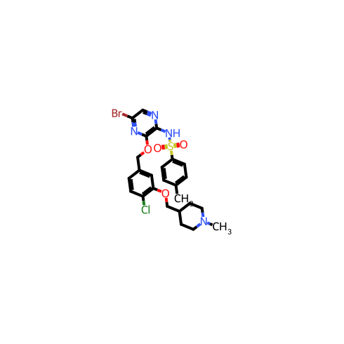 Cc1ccc(S(=O)(=O)Nc2ncc(Br)nc2OCc2ccc(Cl)c(OCC3CCN(C)CC3)c2)cc1